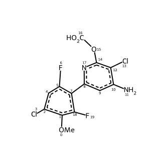 COc1c(Cl)cc(F)c(-c2cc(N)c(Cl)c(OC(=O)O)n2)c1F